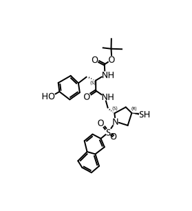 CC(C)(C)OC(=O)N[C@@H](Cc1ccc(O)cc1)C(=O)NC[C@@H]1C[C@@H](S)CN1S(=O)(=O)c1ccc2ccccc2c1